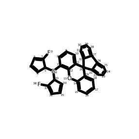 FC1=CC=CC1B(c1cccc2c1Oc1ccccc1C21c2ccccc2-c2ccccc21)C1C=CC=C1F